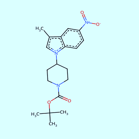 Cc1cn(C2CCN(C(=O)OC(C)(C)C)CC2)c2ccc([N+](=O)[O-])cc12